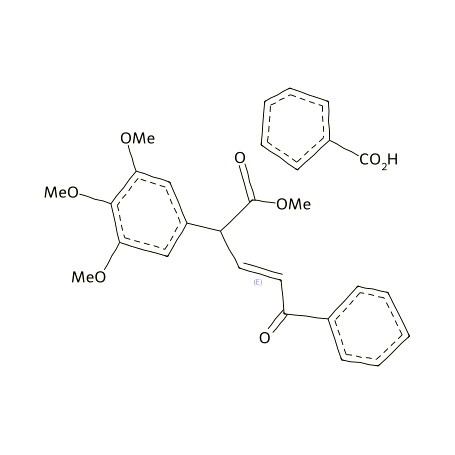 COC(=O)C(/C=C/C(=O)c1ccccc1)c1cc(OC)c(OC)c(OC)c1.O=C(O)c1ccccc1